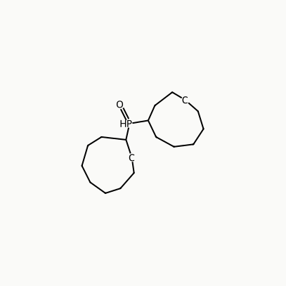 O=[PH](C1CCCCCCCC1)C1CCCCCCCC1